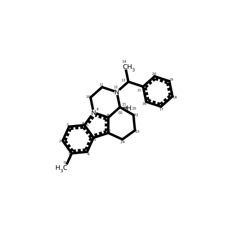 Cc1ccc2c(c1)c1c3n2CCN(C(C)c2ccccc2)[C@H]3CCC1